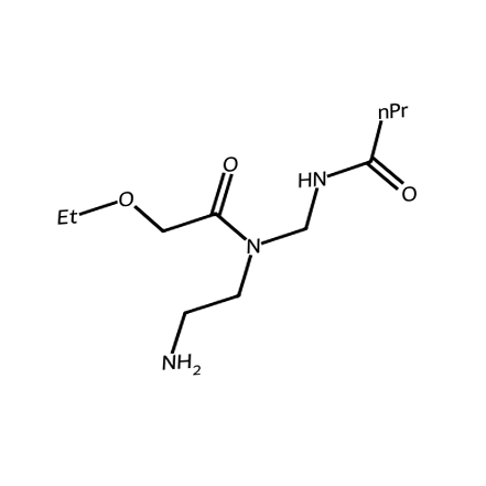 CCCC(=O)NCN(CCN)C(=O)COCC